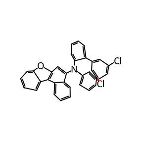 Clc1cc(Cl)cc(-c2ccccc2N(c2ccccc2)c2cc3oc4ccccc4c3c3ccccc23)c1